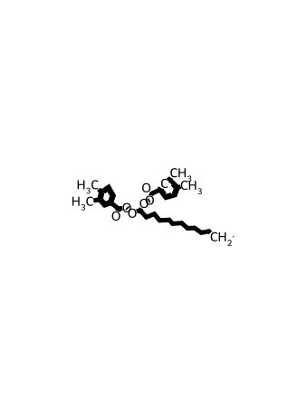 [CH2]CCCCCCCCCC[C](OOC(=O)c1ccc(C)c(C)c1)OOC(=O)c1ccc(C)c(C)c1